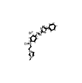 CCN(CCn1cc[n+](C)c1)c1ccc(/N=N/c2nnc(-c3ccccc3)s2)cc1.[Br-]